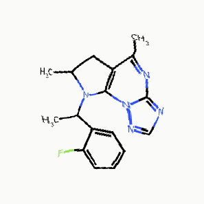 Cc1nc2ncnn2c2c1CC(C)N2C(C)c1ccccc1F